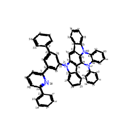 c1ccc(-c2cc(-c3cccc(-c4ccccc4)n3)cc(-n3c4ccccc4c4c5c6c(cc43)c3ccccc3n6-c3ccccc3N5c3ccccc3)c2)cc1